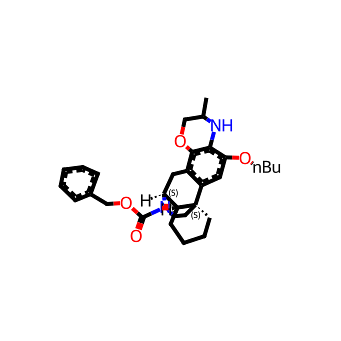 CCCCOc1cc2c(c3c1NC(C)CO3)C[C@H]1[C@H]3CCCC[C@@]23CCN1C(=O)OCc1ccccc1